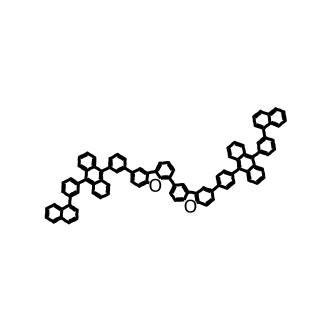 c1cc(-c2ccc3oc4c(-c5ccc6oc7ccc(-c8ccc(-c9c%10ccccc%10c(-c%10cccc(-c%11cccc%12ccccc%11%12)c%10)c%10ccccc9%10)cc8)cc7c6c5)cccc4c3c2)cc(-c2c3ccccc3c(-c3cccc(-c4cccc5ccccc45)c3)c3ccccc23)c1